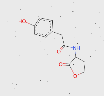 O=C(Cc1ccc(O)cc1)NC1CCOC1=O